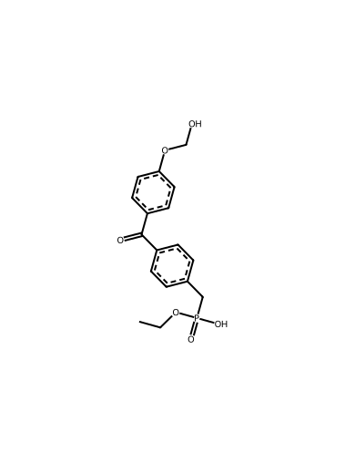 CCOP(=O)(O)Cc1ccc(C(=O)c2ccc(OCO)cc2)cc1